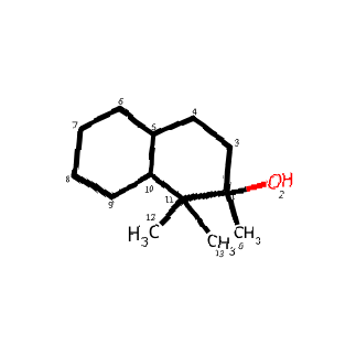 CC1(O)CCC2CCCCC2C1(C)C